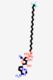 N#C[C@]1(COP(=O)(O)OCCCCCCCCCCCCCCCCCCCC(F)(F)F)O[C@@H](c2ccc3c(N)ncnn23)[C@H](O)[C@@H]1O